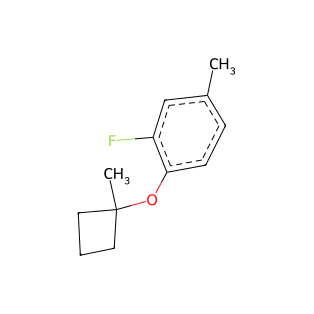 Cc1ccc(OC2(C)CCC2)c(F)c1